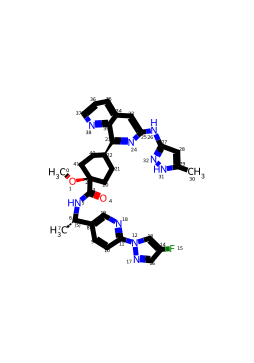 CO[C@]1(C(=O)N[C@@H](C)c2ccc(-n3cc(F)cn3)nc2)CC[C@H](c2nc(Nc3cc(C)[nH]n3)cc3cccnc32)CC1